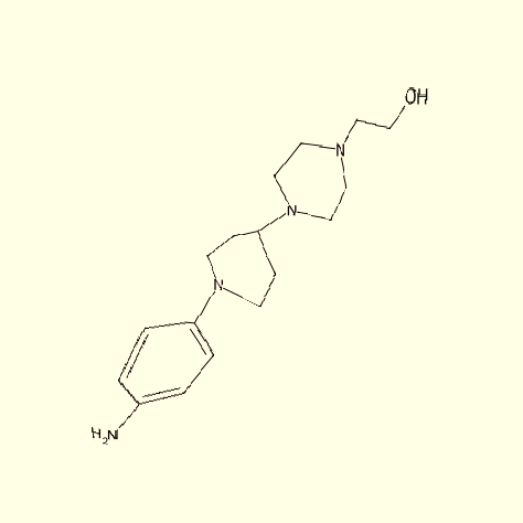 Nc1ccc(N2CCC(N3CCN(CCO)CC3)CC2)cc1